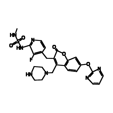 CNS(=O)(=O)Nc1nccc(Cc2c(CN3CCNCC3)c3ccc(Oc4ncccn4)cc3oc2=O)c1F